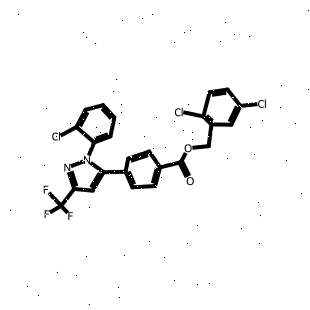 O=C(OCc1cc(Cl)ccc1Cl)c1ccc(-c2cc(C(F)(F)F)nn2-c2ccccc2Cl)cc1